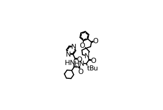 CC(C)(C)C(NC(=O)[C@@H](NC(=O)c1cnccn1)C1CCCCC1)C(=O)N1CCC2(CC(=O)c3ccccc3O2)C1